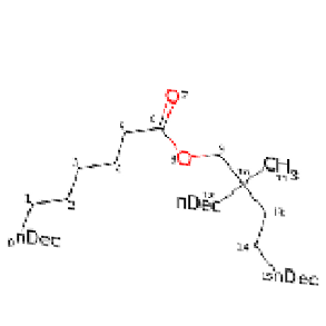 CCCCCCCCCCCCCCCC(=O)OCC(C)(CCCCCCCCCC)CCCCCCCCCCCC